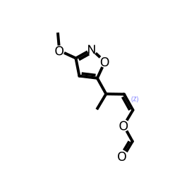 COc1cc(C(C)/C=C\OC=O)on1